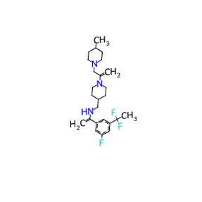 C=C(NCC1CCN(C(=C)CN2CCC(C)CC2)CC1)c1cc(F)cc(C(C)(F)F)c1